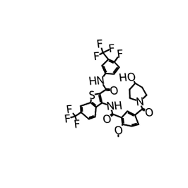 COc1ccc(C(=O)N2CCC(O)CC2)cc1C(=O)Nc1c(C(=O)Nc2ccc(F)c(C(F)(F)F)c2)sc2cc(C(F)(F)F)ccc12